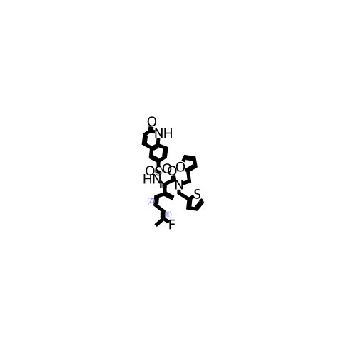 C=C(/C=C\C=C(/C)F)[C@@H](NS(=O)(=O)c1ccc2[nH]c(=O)ccc2c1)C(=O)N(Cc1ccco1)Cc1cccs1